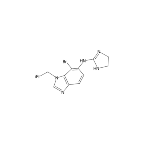 CC(C)Cn1cnc2ccc(NC3=NCCN3)c(Br)c21